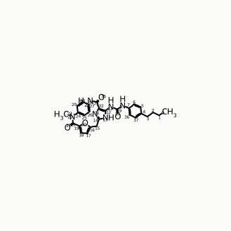 CCCCc1ccc(NC(=O)Nc2[nH]c(Cc3ccc(C(=O)N(C)c4ccccc4)o3)nc2C(N)=O)cc1